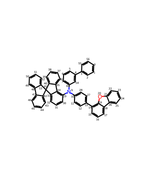 c1ccc(-c2cccc(N(c3ccc(-c4cccc5c4oc4ccccc45)cc3)c3cccc4c3-c3ccccc3C43c4ccccc4-c4ccccc43)c2)cc1